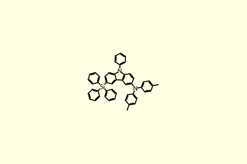 Cc1ccc(N(c2ccc(C)cc2)c2ccc3c(c2)c2cc([Si](c4ccccc4)(c4ccccc4)c4ccccc4)ccc2n3-c2ccccc2)cc1